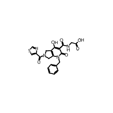 O=C(O)CNC(=O)c1c(O)c2c(n(Cc3ccccc3)c1=O)CN(C(=O)c1cscn1)C2